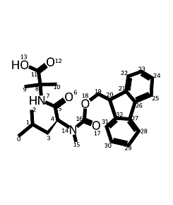 CC(C)C[C@@H](C(=O)NC(C)(C)C(=O)O)N(C)C(=O)OCC1c2ccccc2-c2ccccc21